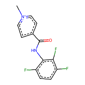 C[n+]1ccc(C(=O)Nc2c(F)ccc(F)c2F)cc1